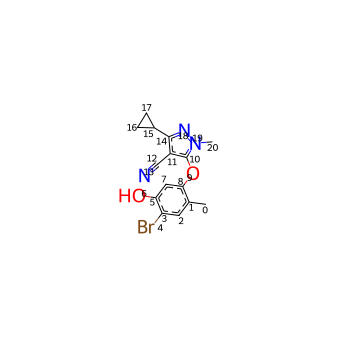 Cc1cc(Br)c(O)cc1Oc1c(C#N)c(C2CC2)nn1C